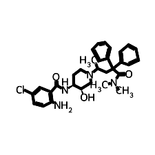 CC(CC(C(=O)N(C)C)(c1ccccc1)c1ccccc1)N1CC[C@H](NC(=O)c2cc(Cl)ccc2N)[C@@H](O)C1